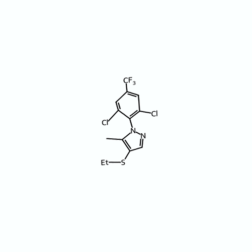 CCSc1cnn(-c2c(Cl)cc(C(F)(F)F)cc2Cl)c1C